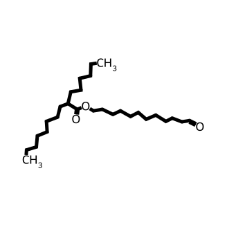 CCCCCCCCC(CCCCCC)C(=O)OCCCCCCCCCCCC=O